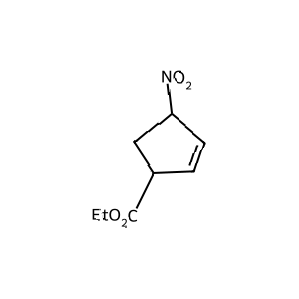 CCOC(=O)C1C=CC([N+](=O)[O-])C1